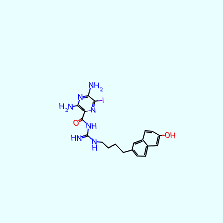 N=C(NCCCCc1ccc2cc(O)ccc2c1)NC(=O)c1nc(I)c(N)nc1N